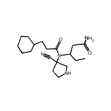 CCC(CC(N)=O)N(C(=O)[CH]CC1CCCCC1)C1(C#N)CCNC1